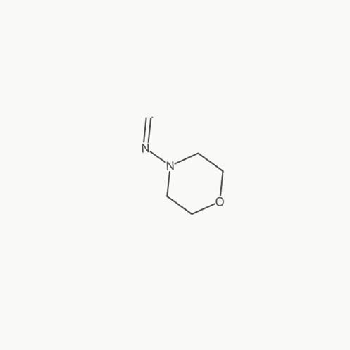 [CH]=NN1CCOCC1